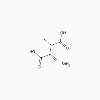 C=C(C(=O)O)C(C)C(=O)O.[SbH3]